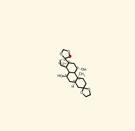 C[C@]12C[C@H](O)C3C(C1CC[C@@]21OCOC12COCO2)[C@H](O)C[C@@H]1CC2(CC[C@]31C)OCCO2